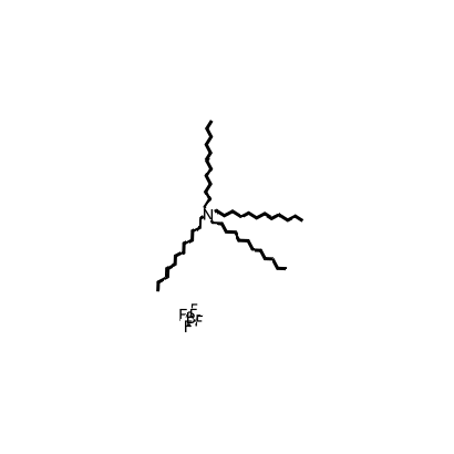 CCCCCCCCCCCC[N+](CCCCCCCCCCCC)(CCCCCCCCCCCC)CCCCCCCCCCCC.F[B-](F)(F)F